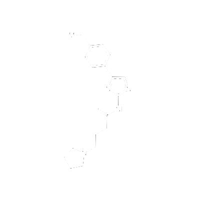 COc1ccc(-c2c[nH]c(NC(=O)CCCN3CCCC3)n2)cc1